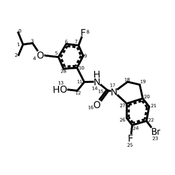 CC(C)COc1cc(F)cc(C(CO)NC(=O)N2CCc3cc(Br)c(F)cc32)c1